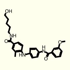 COc1cccc(C(=O)Nc2ccc(Nc3ccc(C(=O)NCCCCCO)cc3C)cc2)c1